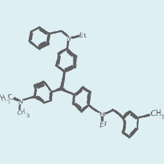 CCN(Cc1ccccc1)c1ccc(C(c2ccc(N(C)C)cc2)c2ccc(N(CC)Cc3cccc(C)c3)cc2)cc1